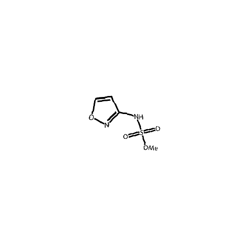 COS(=O)(=O)Nc1ccon1